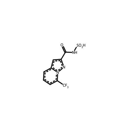 O=C(NS(=O)(=O)O)c1cc2cccc(C(F)(F)F)n2n1